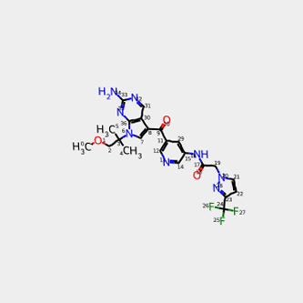 COCC(C)(C)n1cc(C(=O)c2cncc(NC(=O)Cn3ccc(C(F)(F)F)n3)c2)c2cnc(N)nc21